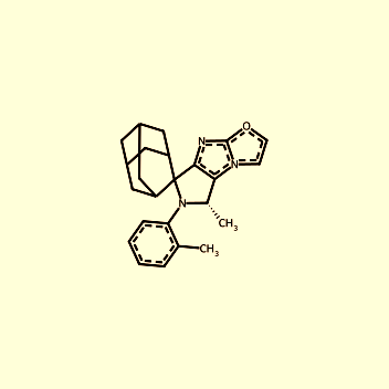 Cc1ccccc1N1[C@@H](C)c2c(nc3occn23)C12C1CC3CC(C1)CC2C3